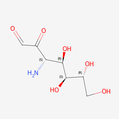 N[C@H](C(=O)C=O)[C@@H](O)[C@H](O)[C@H](O)CO